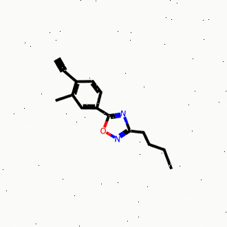 C#Cc1ccc(-c2nc(CCCC)no2)cc1C